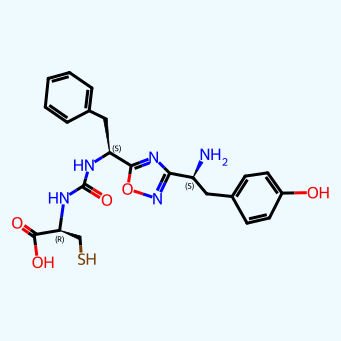 N[C@@H](Cc1ccc(O)cc1)c1noc([C@H](Cc2ccccc2)NC(=O)N[C@@H](CS)C(=O)O)n1